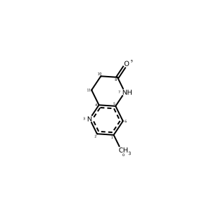 Cc1cnc2c(c1)NC(=O)CC2